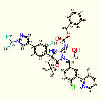 Cc1cccnc1-c1cc([C@@H](CO)N2C(=O)[C@@](CC(C)(C)C)(c3ccc(-c4cnn(C(F)F)c4)cc3F)NC2=NC(=O)OCc2ccccc2)ccc1Cl